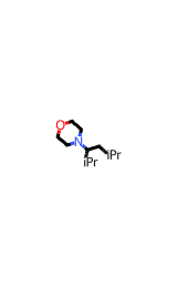 CC(C)CC(C(C)C)N1CCOCC1